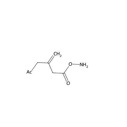 C=C(CC(C)=O)CC(=O)ON